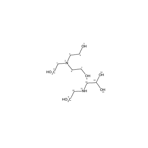 O=C(O)CN(CCO)CCO.O=C(O)CNCC(O)O